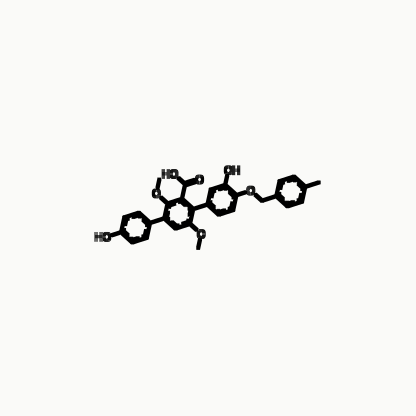 COc1cc(-c2ccc(O)cc2)c(OC)c(C(=O)O)c1-c1ccc(OCc2ccc(C)cc2)c(O)c1